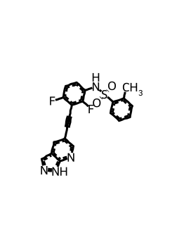 Cc1ccccc1S(=O)(=O)Nc1ccc(F)c(C#Cc2cnc3[nH]ncc3c2)c1F